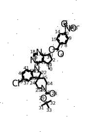 C[C@@H]1C[C@H](OC(=O)c2ccc([N+](=O)[O-])cc2)c2ncnc(N3CC4(CCN(C(=O)OC(C)(C)C)CC4)c4cc(Cl)ccc43)c21